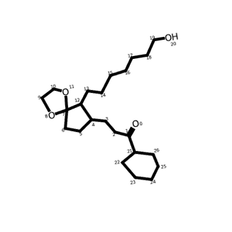 O=C(CCC1CCC2(OCCO2)C1CCCCCCCO)C1CCCCC1